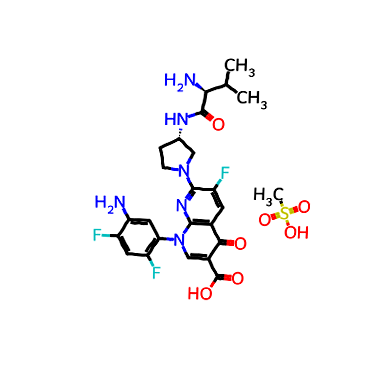 CC(C)[C@H](N)C(=O)N[C@H]1CCN(c2nc3c(cc2F)c(=O)c(C(=O)O)cn3-c2cc(N)c(F)cc2F)C1.CS(=O)(=O)O